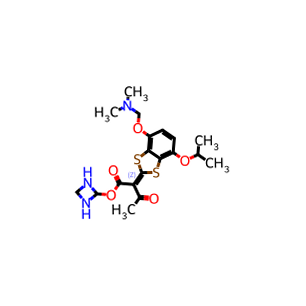 CC(=O)/C(C(=O)OC1NCN1)=C1/Sc2c(OCN(C)C)ccc(OC(C)C)c2S1